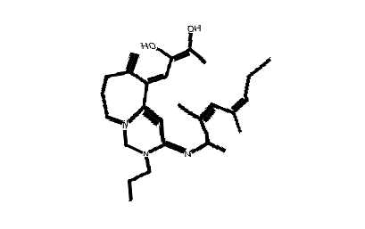 C=C1CCCN2CN(CCC)/C(=N/C(C)/C(C)=C\C(C)=C/CC)C=C2/C1=C/C(O)=C(\C)O